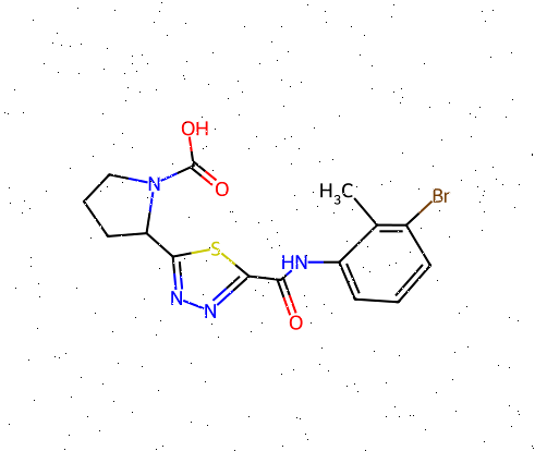 Cc1c(Br)cccc1NC(=O)c1nnc(C2CCCN2C(=O)O)s1